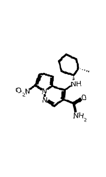 C[C@H]1CCCC[C@H]1Nc1c(C(N)=O)cnn2c([N+](=O)[O-])ccc12